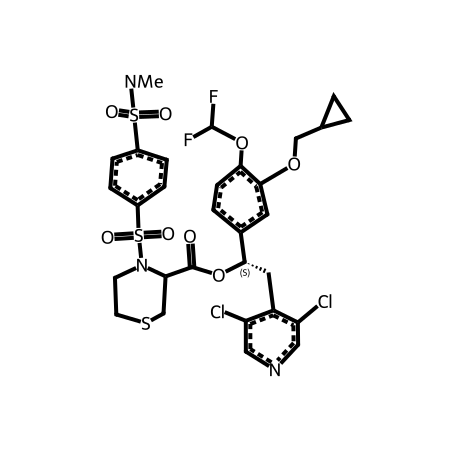 CNS(=O)(=O)c1ccc(S(=O)(=O)N2CCSCC2C(=O)O[C@@H](Cc2c(Cl)cncc2Cl)c2ccc(OC(F)F)c(OCC3CC3)c2)cc1